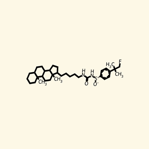 CC(C)(CF)c1ccc([S+]([O-])NC(=O)NCCCCCC2CCC3C4CCC5CCCCC5(C)C4CCC23C)cc1